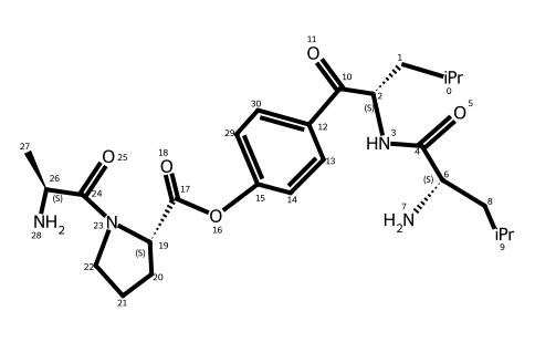 CC(C)C[C@H](NC(=O)[C@@H](N)CC(C)C)C(=O)c1ccc(OC(=O)[C@@H]2CCCN2C(=O)[C@H](C)N)cc1